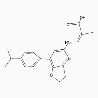 CC(=CNc1cc(-c2ccc(C(C)C)cc2)c2c(n1)CCO2)C(=O)O